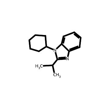 CC(C)c1nc2ccccc2n1C1CCCCC1